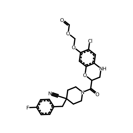 N#CC1(Cc2ccc(F)cc2)CCN(C(=O)C2CNc3cc(Cl)c(OCOC=O)cc3O2)CC1